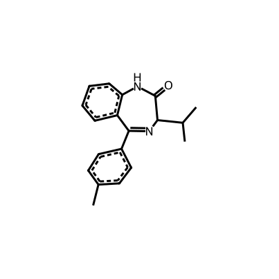 Cc1ccc(C2=NC(C(C)C)C(=O)Nc3ccccc32)cc1